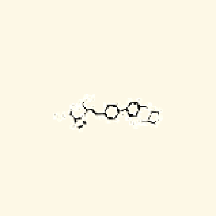 C[C@H](O)c1nccn1C(C=Cc1ccc(-c2ccc(O[C@@H]3COC[C@H]3N)cc2)cc1)CO